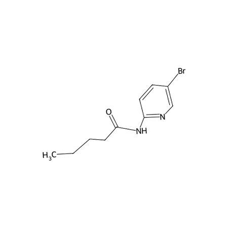 CCCCC(=O)Nc1ccc(Br)cn1